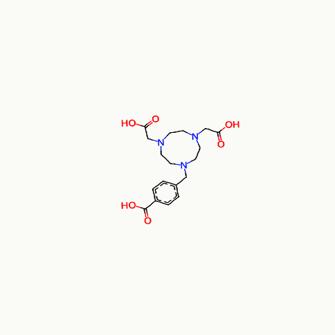 O=C(O)CN1CCN(CC(=O)O)CCN(Cc2ccc(C(=O)O)cc2)CC1